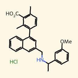 COc1cccc(C(C)NCc2cc(-c3ccc(C)c(C(=O)O)c3C)c3ccccc3c2)c1.Cl